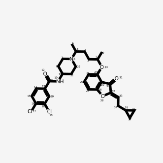 CC(CCC(C)N1CCC(NC(=O)c2ccc(Cl)c(Cl)c2)CC1)Oc1cccc2c1C(=O)C(=CCC1CC1)O2